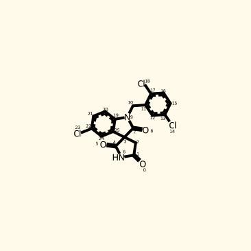 O=C1CC2(C(=O)N1)C(=O)N(Cc1cc(Cl)ccc1Cl)c1ccc(Cl)cc12